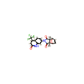 O=C1[C@@H]2C3C=CC(O3)[C@@H]2C(=O)N1c1ccc2c(C(F)(F)F)cc(=O)[nH]c2c1